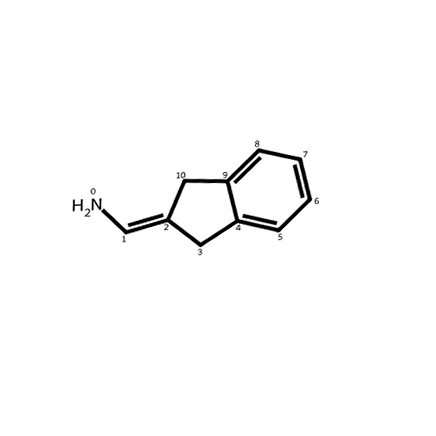 NC=C1Cc2ccccc2C1